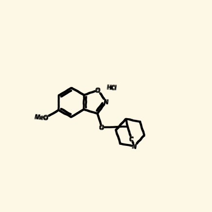 COc1ccc2onc(OC3CN4CCC3CC4)c2c1.Cl